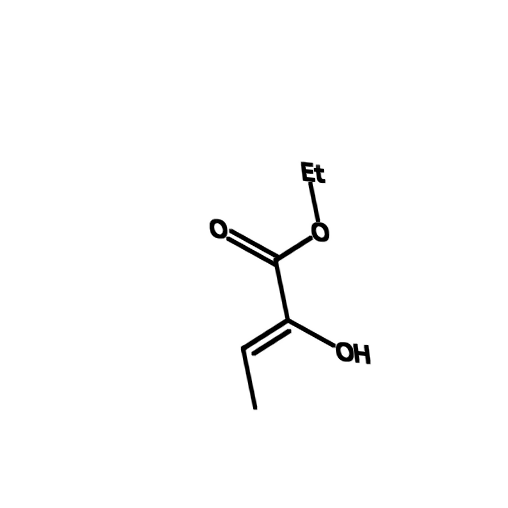 CC=C(O)C(=O)OCC